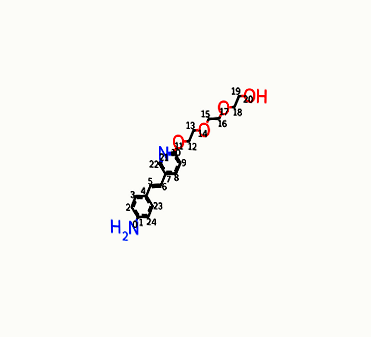 Nc1ccc(C=Cc2ccc(OCCOCCOCCO)nc2)cc1